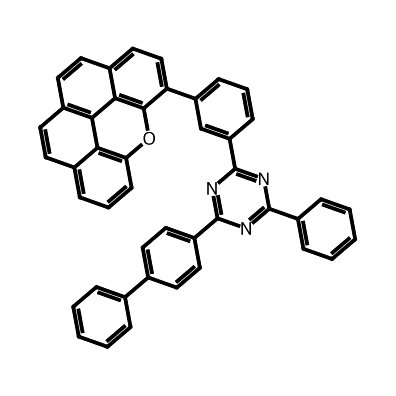 c1ccc(-c2ccc(-c3nc(-c4ccccc4)nc(-c4cccc(-c5ccc6ccc7ccc8cccc9c8c7c6c5O9)c4)n3)cc2)cc1